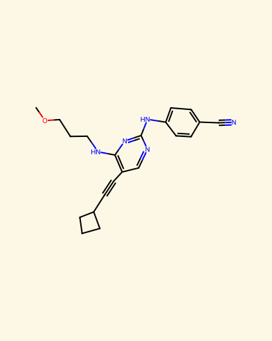 COCCCNc1nc(Nc2ccc(C#N)cc2)ncc1C#CC1CCC1